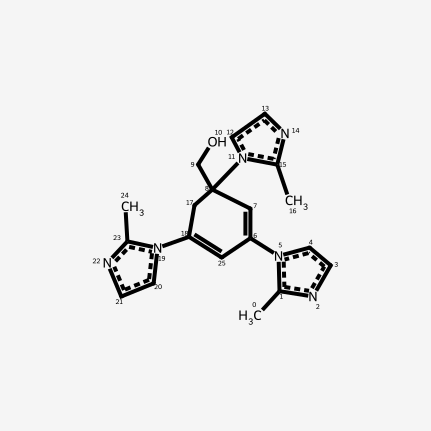 Cc1nccn1C1=CC(CO)(n2ccnc2C)CC(n2ccnc2C)=C1